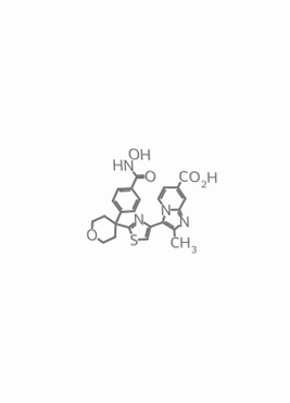 Cc1nc2cc(C(=O)O)ccn2c1-c1csc(C2(c3ccc(C(=O)NO)cc3)CCOCC2)n1